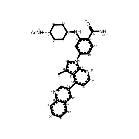 CC(=O)N[C@H]1CC[C@H](Nc2cc(-n3cc(C)c4c(-c5cnc6ccccc6c5)ccnc43)ccc2C(N)=O)CC1